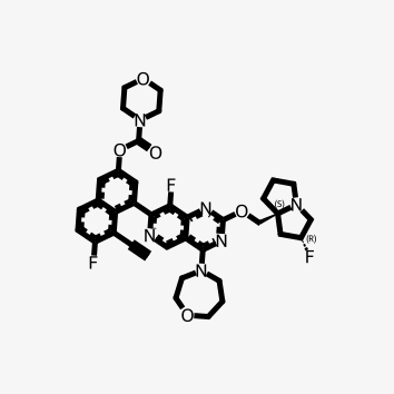 C#Cc1c(F)ccc2cc(OC(=O)N3CCOCC3)cc(-c3ncc4c(N5CCCOCC5)nc(OC[C@@]56CCCN5C[C@H](F)C6)nc4c3F)c12